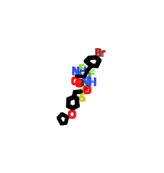 NC(=O)[C@H](NS(=O)(=O)c1cc2ccc(OC3CCCC3)cc2s1)C(F)(F)c1ccc(Br)cc1